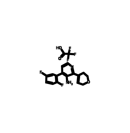 Nc1c(-c2cc(F)ccc2F)ccnc1C1=CCOCC1.O=C(O)C(F)(F)F